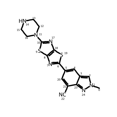 Cn1cc2cc(-c3nc4sc(N5CCNCC5)nc4s3)cc(C#N)c2n1